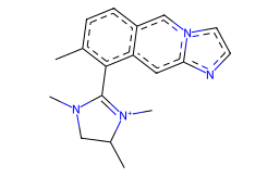 Cc1ccc2cn3ccnc3cc2c1C1=[N+](C)C(C)CN1C